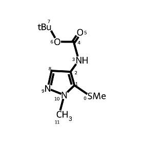 CSc1c(NC(=O)OC(C)(C)C)cnn1C